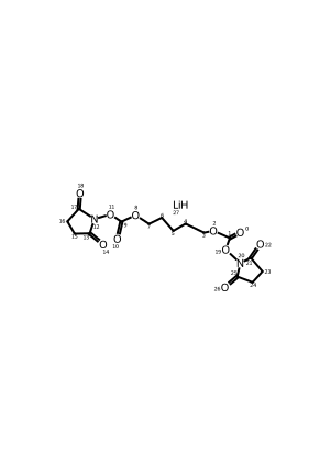 O=C(OCCCCCOC(=O)ON1C(=O)CCC1=O)ON1C(=O)CCC1=O.[LiH]